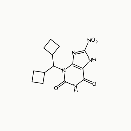 O=c1[nH]c(=O)n(C(C2CCC2)C2CCC2)c2nc([N+](=O)[O-])[nH]c12